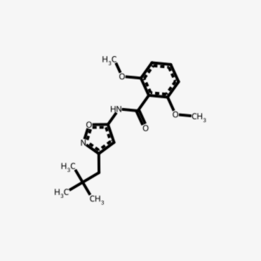 COc1cccc(OC)c1C(=O)Nc1cc(CC(C)(C)C)no1